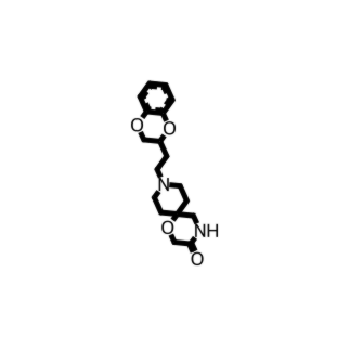 O=C1COC2(CCN(CCC3COc4ccccc4O3)CC2)CN1